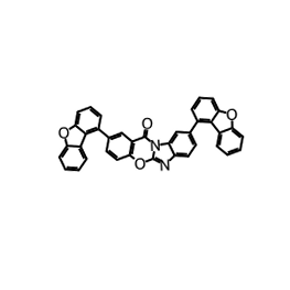 O=c1c2cc(-c3cccc4oc5ccccc5c34)ccc2oc2nc3ccc(-c4cccc5oc6ccccc6c45)cc3n12